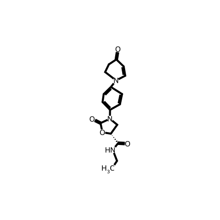 CCNC(=O)[C@H]1CN(c2ccc(N3C=CC(=O)CC3)cc2)C(=O)O1